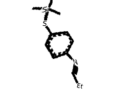 CCC=Nc1ccc(S[Si](C)(C)C)cc1